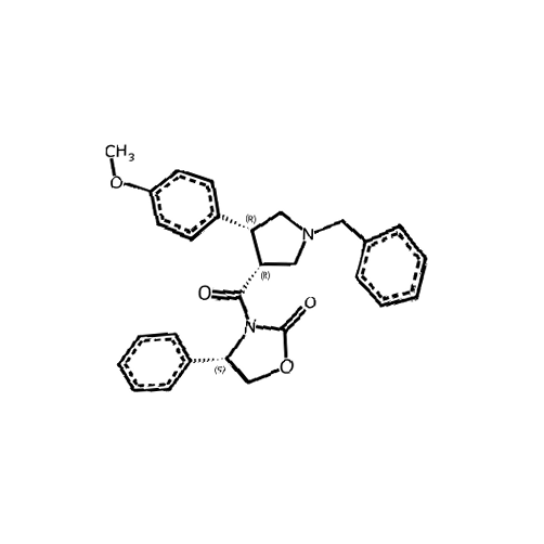 COc1ccc([C@@H]2CN(Cc3ccccc3)C[C@@H]2C(=O)N2C(=O)OC[C@@H]2c2ccccc2)cc1